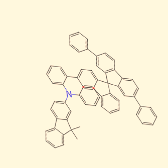 CC1(C)c2ccccc2-c2ccc(N(c3ccccc3)c3ccccc3-c3ccc4c(c3)-c3ccccc3C43c4cc(-c5ccccc5)ccc4-c4ccc(-c5ccccc5)cc43)cc21